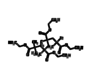 CCC(C)(CC(C)(CC(C)(CC(C)(C)C(=O)OCC(=O)O)C(=O)OCC(=O)O)C(=O)OCC(=O)O)C(=O)OCC(=O)O